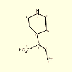 C[C](C)CN(C(=O)O)C1CCNCC1